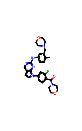 Cc1ccc(Nc2ncc3ccn(-c4ccc(C(=O)N5CCOCC5)c(F)c4)c3n2)cc1CN1CCOCC1